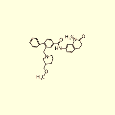 COCC1CCCN(Cc2cc(C(=O)Nc3ccc4c(c3)N(C)C(=O)CC4)ccc2-c2ccccc2)C1